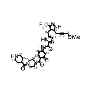 COCC#CCc1[nH]nc(C(F)(F)F)c1Cc1cnc(C(=O)Nc2ccc(C(=O)N3CCN(C(=O)C4CCNCC4)CC3)c(Cl)c2)[nH]1